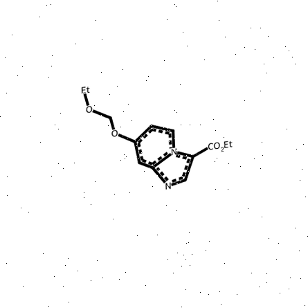 CCOCOc1ccn2c(C(=O)OCC)cnc2c1